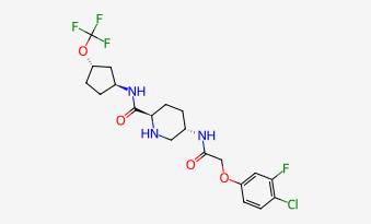 O=C(COc1ccc(Cl)c(F)c1)N[C@H]1CC[C@H](C(=O)N[C@H]2CC[C@H](OC(F)(F)F)C2)NC1